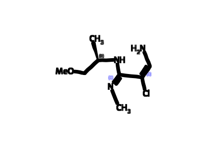 C/N=C(N[C@H](C)COC)\C(Cl)=C/N